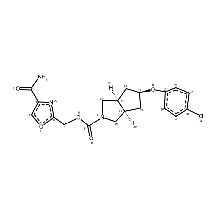 NC(=O)c1coc(COC(=O)N2C[C@H]3C[C@@H](Oc4ccc(Cl)cc4)C[C@H]3C2)n1